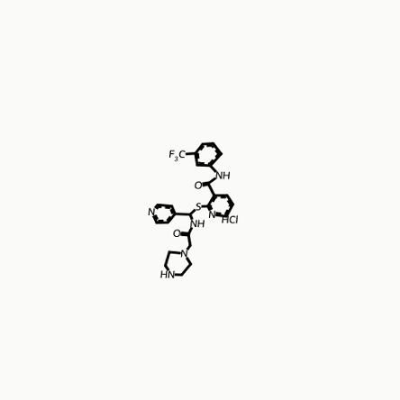 Cl.O=C(CN1CCNCC1)NC(Sc1ncccc1C(=O)Nc1cccc(C(F)(F)F)c1)c1ccncc1